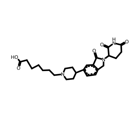 O=C(O)CCCCCCN1CCC(c2ccc3c(c2)C(=O)N(C2CCC(=O)NC2=O)C3)CC1